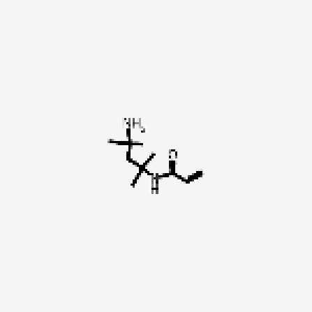 C=CC(=O)NC(C)(C)CC(C)(C)N